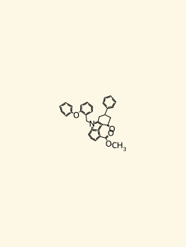 COC(=O)c1cccc2c1c1c(n2Cc2ccccc2Oc2ccccc2)CC(c2ccccc2)CC1=O